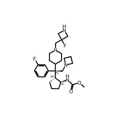 COC(=O)N[C@H]1CCC[C@@H]1[C@](CN1CCC1)(c1cccc(F)c1)C1CCN(CC2(F)CNC2)CC1